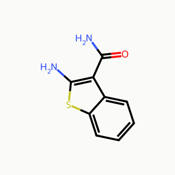 NC(=O)c1c(N)sc2ccccc12